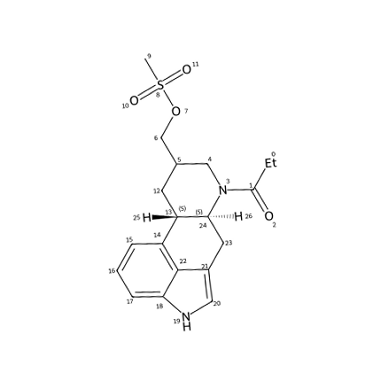 CCC(=O)N1CC(COS(C)(=O)=O)C[C@H]2c3cccc4[nH]cc(c34)C[C@@H]21